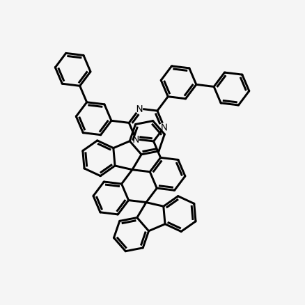 c1ccc(-c2cccc(-c3nc(-c4cccc(-c5ccccc5)c4)nc(-c4cccc5c4C4(c6ccccc6-c6ccccc64)c4ccccc4C54c5ccccc5-c5ccccc54)n3)c2)cc1